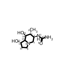 C[C@@H]1[C@@H](NC(N)=O)CN2CC[C@H](O)C2[C@H]1O